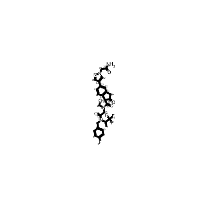 CC(N(Cc1ccc(F)cc1)C(=O)CN1CO[C@]2(C(=O)Cc3cc(-c4cnn(CC(N)=O)c4)ccc32)C1=O)C(F)(F)F